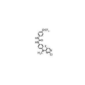 CN(c1ccc(NC(=O)Nc2ccc(OC(F)(F)F)cc2)cc1)c1nc(Cl)ncc1F